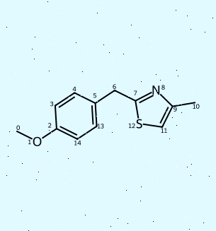 COc1ccc(Cc2nc(C)cs2)cc1